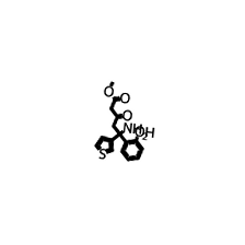 COC(=O)CC(=O)CC(N)(c1ccsc1)c1ccccc1O